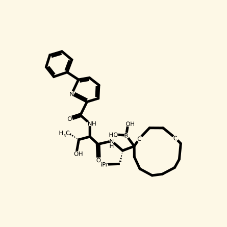 CC(C)C[C@H](NC(=O)C(NC(=O)c1cccc(-c2ccccc2)n1)[C@@H](C)O)C1(B(O)O)CCCCCCCCCCC1